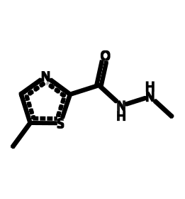 CNNC(=O)c1ncc(C)s1